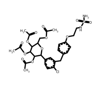 CC(=O)OCC1OC(c2ccc(Cl)c(Cc3ccc(OCCNS(N)(=O)=O)cc3)c2)C(OC(C)=O)C(OC(C)=O)C1OC(C)=O